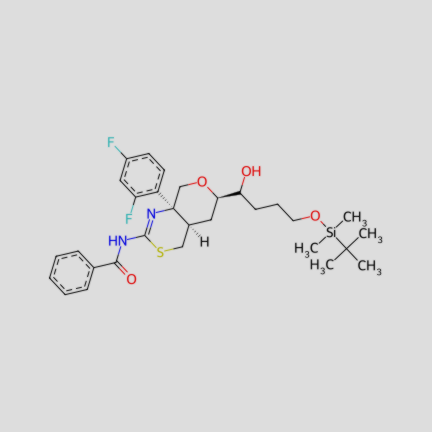 CC(C)(C)[Si](C)(C)OCCCC(O)[C@H]1C[C@H]2CSC(NC(=O)c3ccccc3)=N[C@@]2(c2ccc(F)cc2F)CO1